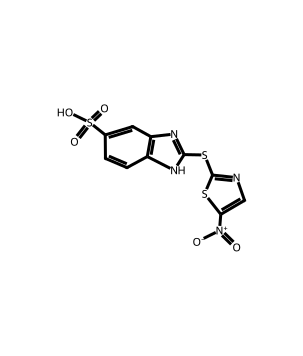 O=[N+]([O-])c1cnc(Sc2nc3cc(S(=O)(=O)O)ccc3[nH]2)s1